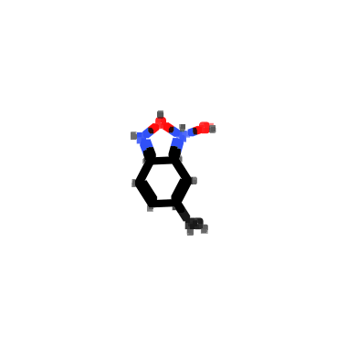 O=[N+]([O-])c1ccc2no[n+]([O-])c2c1